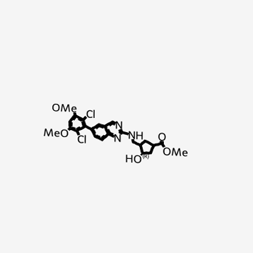 COC(=O)C1CC(CNc2ncc3cc(-c4c(Cl)c(OC)cc(OC)c4Cl)ccc3n2)[C@H](O)C1